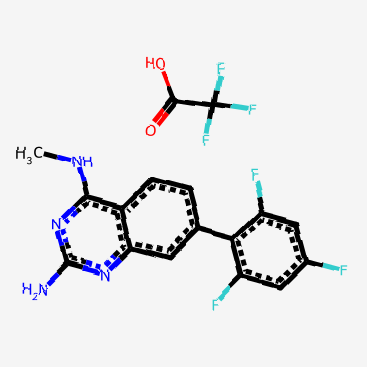 CNc1nc(N)nc2cc(-c3c(F)cc(F)cc3F)ccc12.O=C(O)C(F)(F)F